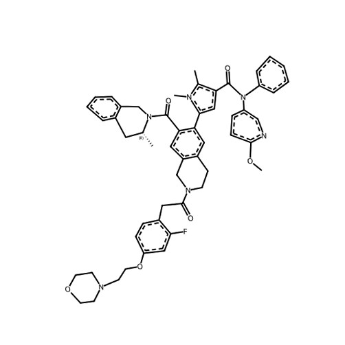 COc1ccc(N(C(=O)c2cc(-c3cc4c(cc3C(=O)N3Cc5ccccc5C[C@H]3C)CN(C(=O)Cc3ccc(OCCN5CCOCC5)cc3F)CC4)n(C)c2C)c2ccccc2)cn1